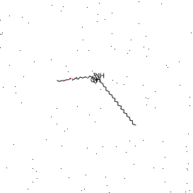 CCCCCCCCCCCCCCCCCCCCCCCCCC(=O)NC(C)C(O)CCCCCCCCCCCCCCC